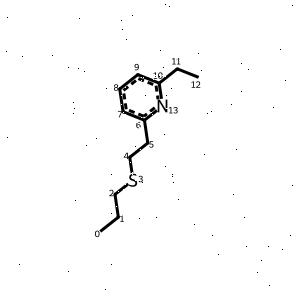 CCCSCCc1cccc(CC)n1